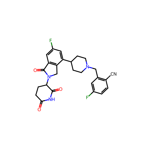 N#Cc1ccc(F)cc1CN1CCC(c2cc(F)cc3c2CN(C2CCC(=O)NC2=O)C3=O)CC1